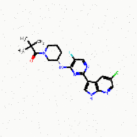 CC(C)(C)C(=O)N1CCC[C@H](Nc2nc(-c3c[nH]c4ncc(Cl)cc34)ncc2F)C1